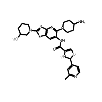 Cc1cc(C2NC(C(=O)Nc3cc4sc(N5CCCC(O)C5)nc4nc3N3CCC(N)CC3)=CO2)ccn1